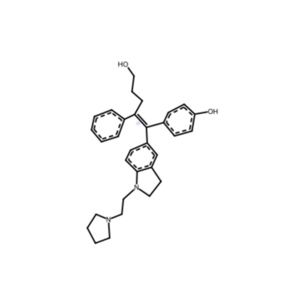 OCCC/C(=C(\c1ccc(O)cc1)c1ccc2c(c1)CCN2CCN1CCCC1)c1ccccc1